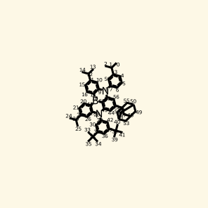 CC(C)c1cccc(N2c3cc(C(C)C)ccc3B3c4ccc(C(C)C)cc4N(c4cc(C(C)(C)C)cc(C(C)(C)C)c4)c4cc(C56CC7CC(CC(C7)C5)C6)cc2c43)c1